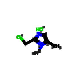 CCCn1c(C)cnc1CCl.Cl